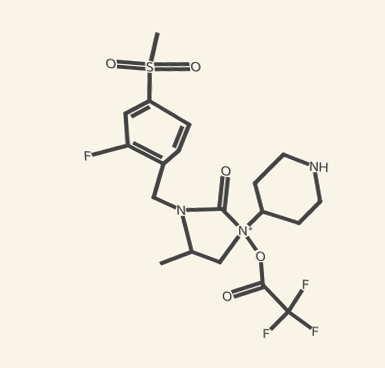 CC1C[N+](OC(=O)C(F)(F)F)(C2CCNCC2)C(=O)N1Cc1ccc(S(C)(=O)=O)cc1F